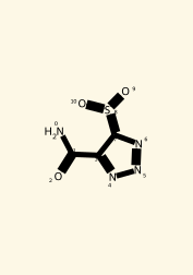 NC(=O)C1=NN=NC1=S(=O)=O